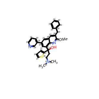 COc1nc2c(C(O)(CCN(C)C)c3cccs3)cc(-c3cccnc3)cc2cc1Cc1ccccc1